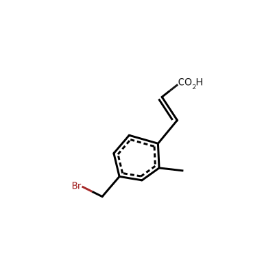 Cc1cc(CBr)ccc1C=CC(=O)O